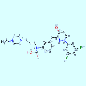 CN1CCN(CCCN(C(=O)O)c2cccc(Cc3nn(-c4cc(F)cc(F)c4)ccc3=O)c2)CC1